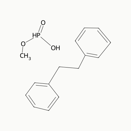 CO[PH](=O)O.c1ccc(CCc2ccccc2)cc1